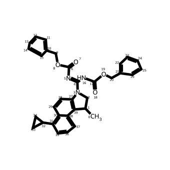 CC1CN(C(=NC(=O)OCc2ccccc2)NC(=O)OCc2ccccc2)c2ccc3c(C4CC4)cccc3c21